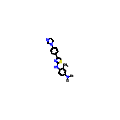 CCN(CC)c1ccc(Nc2nc(-c3ccc(N4C=NCC4)cc3)cs2)c(C)c1